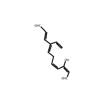 C=CC(/C=C/C=O)=C\C/C=C\C(O)=C/C=O